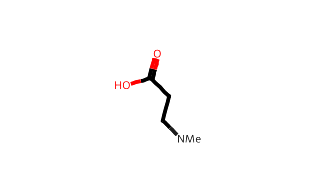 [CH2]NCCC(=O)O